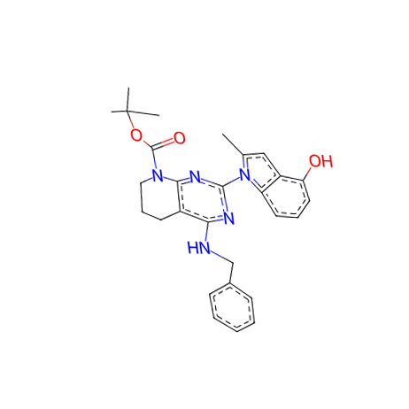 Cc1cc2c(O)cccc2n1-c1nc(NCc2ccccc2)c2c(n1)N(C(=O)OC(C)(C)C)CCC2